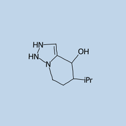 CC(C)C1CCN2NNC=C2C1O